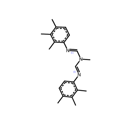 Cc1ccc(/N=C/N(C)/C=N/c2ccc(C)c(C)c2C)c(C)c1C